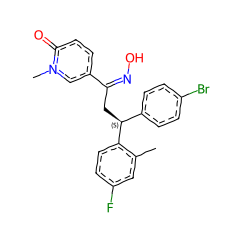 Cc1cc(F)ccc1[C@@H](CC(=NO)c1ccc(=O)n(C)c1)c1ccc(Br)cc1